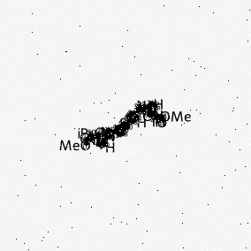 COC(=O)NC(C(=O)N1CCC[C@H]1c1ncc(-c2ccc3cc(-c4ccc(-c5cnc([C@@H]6CCCN6C(=O)[C@@H](NC(=O)OC)C(C)C)[nH]5)cc4)sc3c2)[nH]1)C(C)C